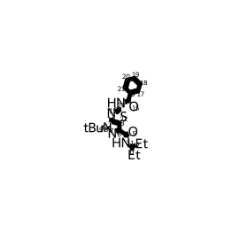 CCC(CC)NC(=O)c1nn(C(C)(C)C)c2nc(NC(=O)c3ccccc3)sc12